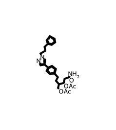 CC(=O)OCC(CCc1ccc(-c2cnn(CCCc3ccccc3)c2)cc1)C(CC(N)=O)OC(C)=O